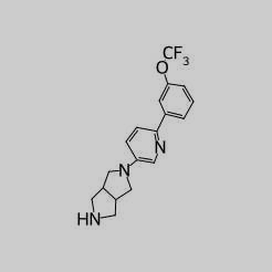 FC(F)(F)Oc1cccc(-c2ccc(N3CC4CNCC4C3)cn2)c1